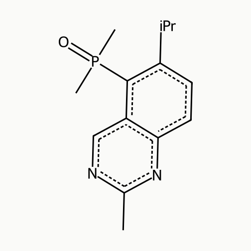 Cc1ncc2c(P(C)(C)=O)c(C(C)C)ccc2n1